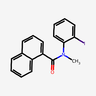 CN(C(=O)c1cccc2ccccc12)c1ccccc1I